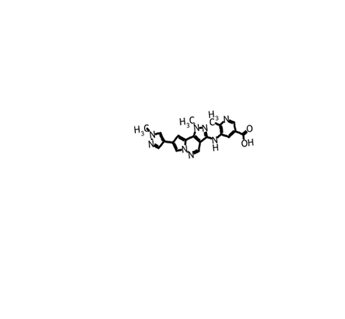 Cc1ncc(C(=O)O)cc1Nc1nn(C)c2c1cnn1cc(-c3cnn(C)c3)cc21